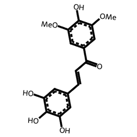 COc1cc(C(=O)/C=C/c2cc(O)c(O)c(O)c2)cc(OC)c1O